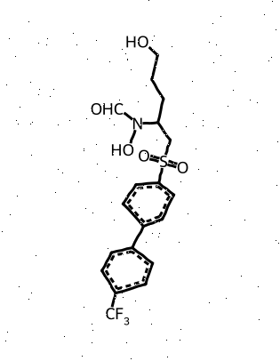 O=CN(O)C(CCCO)CS(=O)(=O)c1ccc(-c2ccc(C(F)(F)F)cc2)cc1